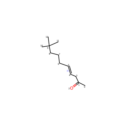 CC(=O)C/C=C/CCCC(C)(C)C